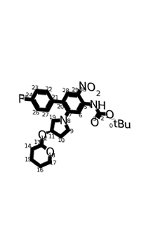 CC(C)(C)OC(=O)Nc1cc(N2CC[C@@H](OC3CCCCO3)C2)c(-c2ccc(F)cc2)cc1[N+](=O)[O-]